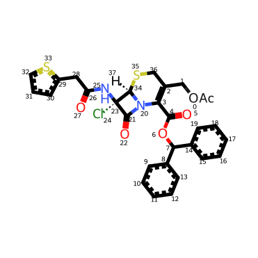 CC(=O)OCC1=C(C(=O)OC(c2ccccc2)c2ccccc2)N2C(=O)[C@@](Cl)(NC(=O)Cc3cccs3)[C@H]2SC1